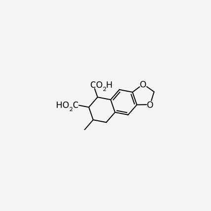 CC1Cc2cc3c(cc2C(C(=O)O)C1C(=O)O)OCO3